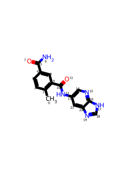 Cc1ccc(C(N)=O)cc1C(=O)Nc1cnc2[nH]cnc2c1